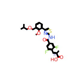 COc1c(COCC(C)C)cccc1-c1csc(NC(=O)c2cc(F)c(/C=C(\C)C(=O)O)c(F)c2)n1